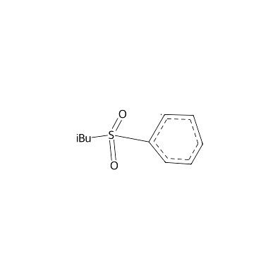 CCC(C)S(=O)(=O)c1[c]cccc1